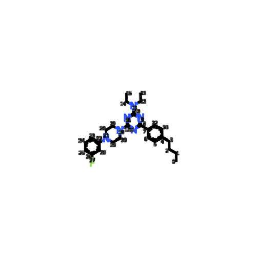 CCCCc1ccc(-c2nc(N(CC)CC)nc(N3CCN(c4cccc(F)c4)CC3)n2)cc1